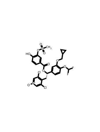 CS(=O)(=O)Oc1cc(C(=O)O[C@@H](Cc2c(Cl)c[n+]([O-])cc2Cl)c2ccc(OC(F)F)c(OCC3CC3)c2)ccc1O